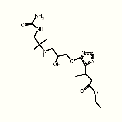 CCOC(=O)CC(C)c1nsnc1OCC(O)CNC(C)(C)CNC(N)=O